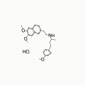 COc1ccc(CCC(C)NCCc2ccc3cc(OC)c(OC)cc3c2)cc1.Cl